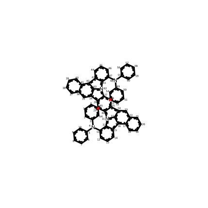 c1ccc(N(c2ccccc2)c2cccc3c4c5ccccc5cc5c6nc7c(cc6n(c23)c54)c2cc3ccccc3c3c4cccc(N(c5ccccc5)c5ccccc5)c4n7c23)cc1